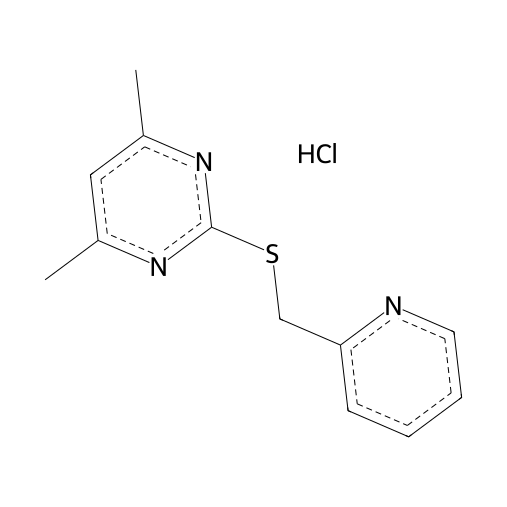 Cc1cc(C)nc(SCc2ccccn2)n1.Cl